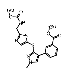 Cn1cc(-c2cccc(C(=O)OC(C)(C)C)c2)c(Sc2cnc(CNC(=O)OC(C)(C)C)s2)n1